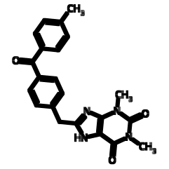 Cc1ccc(C(=O)c2ccc(Cc3nc4c([nH]3)c(=O)n(C)c(=O)n4C)cc2)cc1